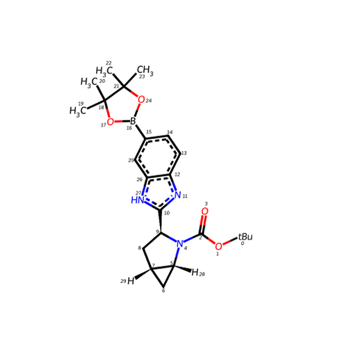 CC(C)(C)OC(=O)N1[C@@H]2C[C@@H]2C[C@H]1c1nc2ccc(B3OC(C)(C)C(C)(C)O3)cc2[nH]1